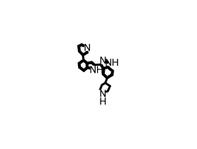 c1cncc(-c2cccc3[nH]c(-c4n[nH]c5ccc(C6CCNCC6)cc45)cc23)c1